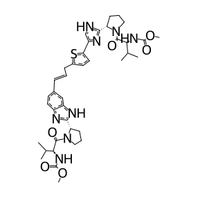 COC(=O)N[C@H](C(=O)N1CCC[C@H]1c1nc(-c2ccc(CC=Cc3ccc4nc([C@@H]5CCCN5C(=O)[C@@H](NC(=O)OC)C(C)C)[nH]c4c3)s2)c[nH]1)C(C)C